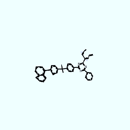 C=C/C=C(\C=C/C)c1nc(-c2ccccc2)nc(-c2ccc(C(C)(C)c3ccc(-c4cccc5ccccc45)cc3)cc2)n1